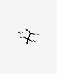 CCCCC(CCCC)C(N)(CCCC)CCCC.O